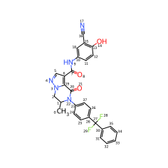 CC1Cn2ncc(C(=O)Nc3ccc(O)c(C#N)c3)c2C(=O)N1c1ccc(C(F)(F)c2ccccc2)cc1